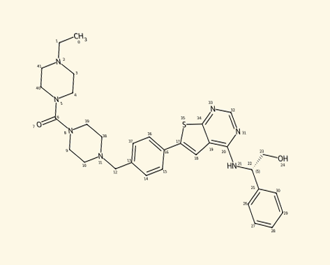 CCN1CCN(C(=O)N2CCN(Cc3ccc(-c4cc5c(N[C@H](CO)c6ccccc6)ncnc5s4)cc3)CC2)CC1